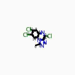 Cc1nnc2c(Cl)nc3cc(Cl)c(Cl)cc3n12